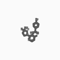 Cc1ccnc(N2CCC(F)(P)C2)c1NC(=O)c1ccc(Br)cc1